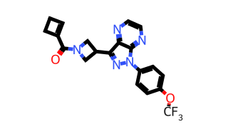 O=C(C1=CCC1)N1CC(c2nn(-c3ccc(OC(F)(F)F)cc3)c3nccnc23)C1